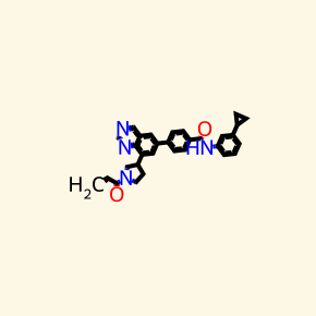 C=CC(=O)N1CCC(c2cc(-c3ccc(C(=O)Nc4cccc(C5CC5)c4)cc3)cc3cncnc23)C1